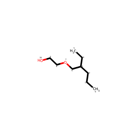 CCCC(CC)COCCO